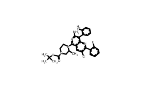 Cc1ccccc1-c1c(N)nc(N2CCN(C(=O)OC(C)(C)C)CC2C)c2cc(Cl)c(-c3ccccc3F)nc12